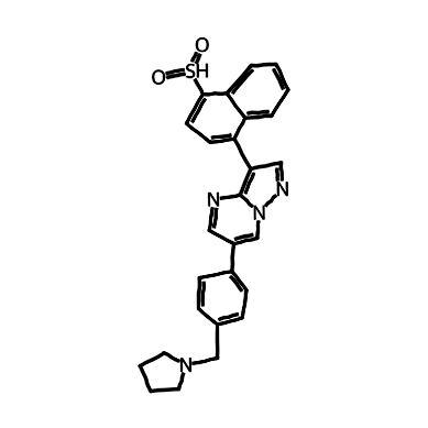 O=[SH](=O)c1ccc(-c2cnn3cc(-c4ccc(CN5CCCC5)cc4)cnc23)c2ccccc12